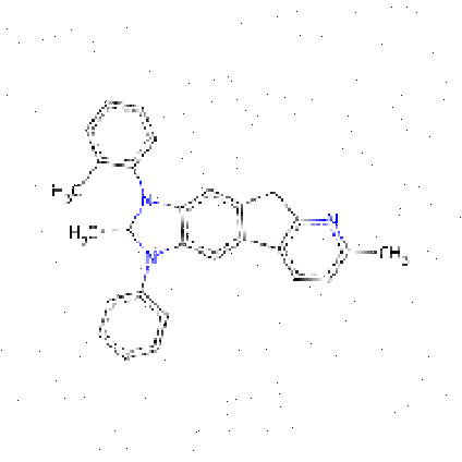 Cc1ccc2c(n1)Cc1cc3c(cc1-2)N(c1ccccc1)[C@H](C)N3c1ccccc1C